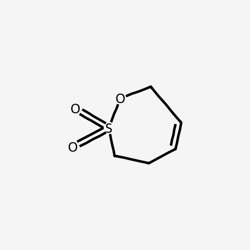 O=S1(=O)CCC=CCO1